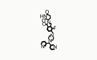 O=C1CCC(N2Cc3c(ccc(CN4CCN(C(c5cccnc5)c5cccnc5)CC4)c3F)C2=O)C(=O)N1